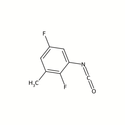 Cc1cc(F)cc(N=C=O)c1F